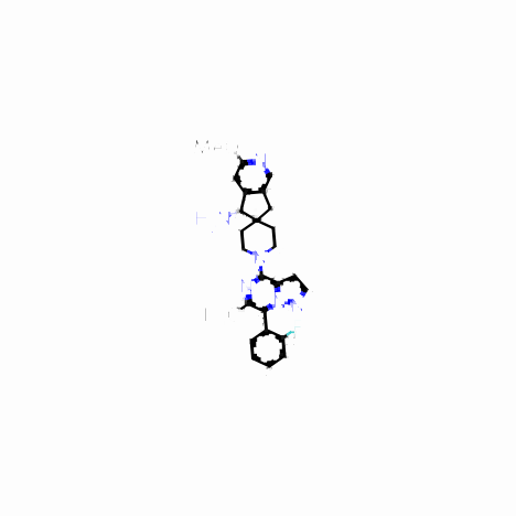 COc1cc2c(cn1)CC1(CCN(c3nc(C)c(-c4ccccc4F)n4nccc34)CC1)[C@@H]2N